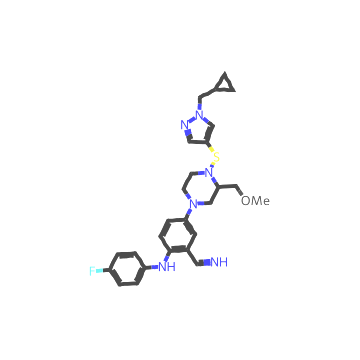 COCC1CN(c2ccc(Nc3ccc(F)cc3)c(C=N)c2)CCN1Sc1cnn(CC2CC2)c1